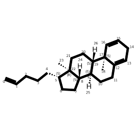 C=CCCC[C@H]1CC[C@H]2[C@@H]3CCC4=CCC=C[C@]4(C)[C@H]3CC[C@]12C